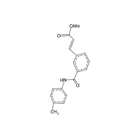 COC(=O)C=Cc1cccc(C(=O)Nc2ccc(C)cc2)c1